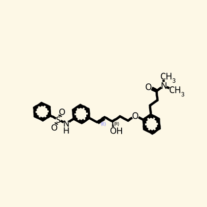 CN(C)C(=O)CCc1ccccc1OCC[C@@H](O)/C=C/c1cccc(NS(=O)(=O)c2ccccc2)c1